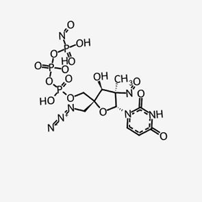 C[C@@]1(N=O)[C@H](O)[C@@](CN=[N+]=[N-])(COP(=O)(O)OP(=O)(O)OP(=O)(O)N=O)O[C@H]1n1ccc(=O)[nH]c1=O